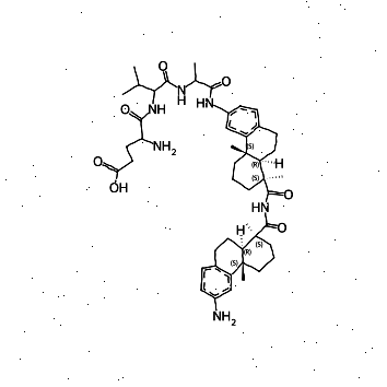 CC(NC(=O)C(NC(=O)C(N)CCC(=O)O)C(C)C)C(=O)Nc1ccc2c(c1)[C@@]1(C)CCC[C@](C)(C(=O)NC(=O)[C@@]3(C)CCC[C@]4(C)c5cc(N)ccc5CC[C@@H]34)[C@@H]1CC2